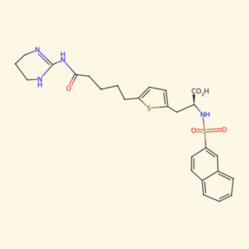 O=C(CCCCc1ccc(C[C@H](NS(=O)(=O)c2ccc3ccccc3c2)C(=O)O)s1)NC1=NCCCN1